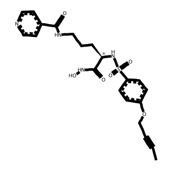 CC#CCOc1ccc(S(=O)(=O)N[C@H](CCCNC(=O)c2ccncc2)C(=O)NO)cc1